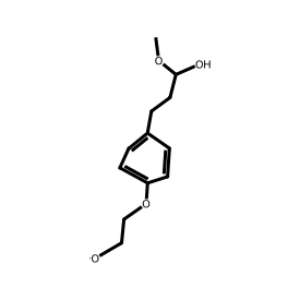 COC(O)CCc1ccc(OCC[O])cc1